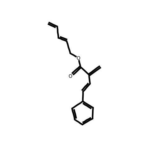 C=CC=CCOC(=O)C(=C)C=Cc1ccccc1